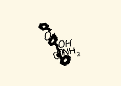 Nc1ccccc1C(=O)OCC(O)c1ccc(OCc2ccccc2)cc1